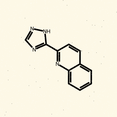 [c]1cc(-c2ncn[nH]2)nc2ccccc12